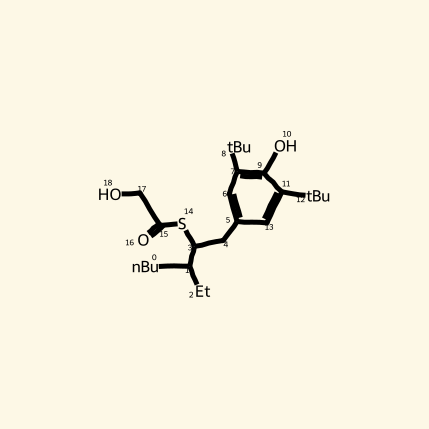 CCCCC(CC)C(Cc1cc(C(C)(C)C)c(O)c(C(C)(C)C)c1)SC(=O)CO